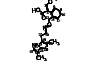 CO/C=C(/C(=O)O)c1ccccc1CON=CCC1=C(C)SC2N(C)C=NN12